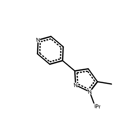 Cc1cc(-c2ccncc2)nn1C(C)C